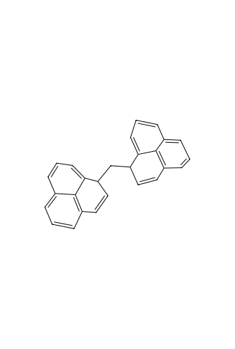 C1=CC(CC2C=Cc3cccc4cccc2c34)c2cccc3cccc1c23